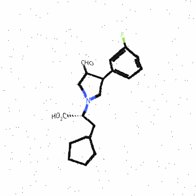 O=CC1CN([C@H](CC2CCCC2)C(=O)O)CC1c1cccc(F)c1